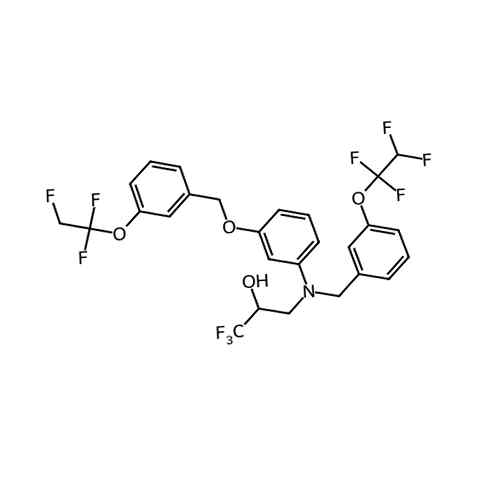 OC(CN(Cc1cccc(OC(F)(F)C(F)F)c1)c1cccc(OCc2cccc(OC(F)(F)CF)c2)c1)C(F)(F)F